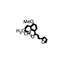 COc1ccc(C(=O)/C=C/c2ccco2)c2c1C=CC(C)(C)O2